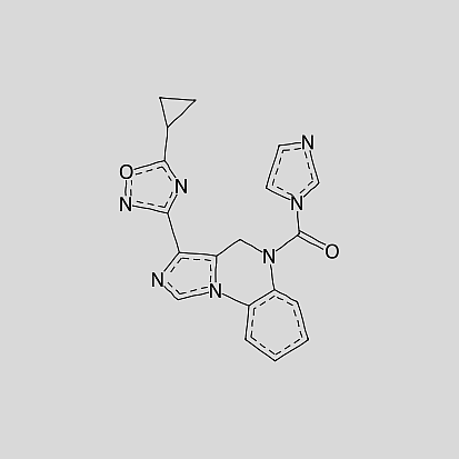 O=C(N1Cc2c(-c3noc(C4CC4)n3)ncn2-c2ccccc21)n1ccnc1